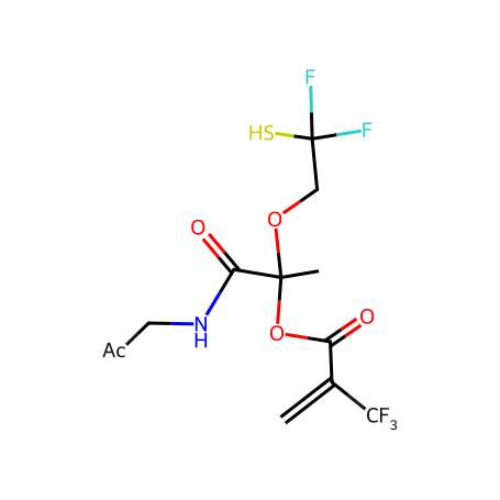 C=C(C(=O)OC(C)(OCC(F)(F)S)C(=O)NCC(C)=O)C(F)(F)F